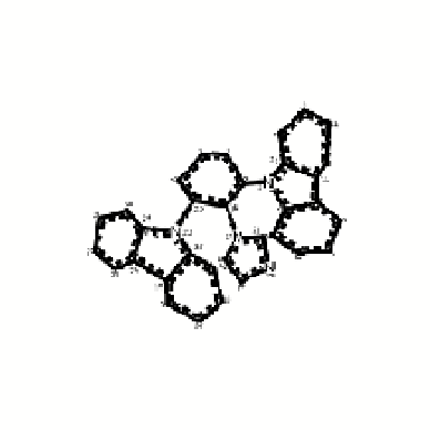 c1cc(-n2c3ccccc3c3ccccc32)c(-n2ccnc2)c(-n2c3ccccc3c3ccccc32)c1